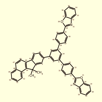 CC1(C)c2cc(-c3cc(-c4ccc(-c5nc6ccccc6o5)cc4)cc(-c4ccc(-c5nc6ccccc6o5)cc4)c3)ccc2-c2ccc3ccccc3c21